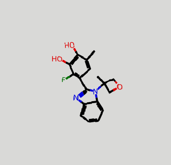 Cc1cc(-c2nc3ccccc3n2C2(C)COC2)c(F)c(O)c1O